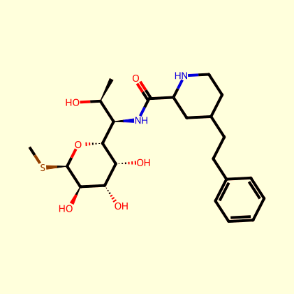 CS[C@H]1O[C@H]([C@H](NC(=O)C2CC(CCc3ccccc3)CCN2)[C@H](C)O)[C@H](O)[C@H](O)[C@H]1O